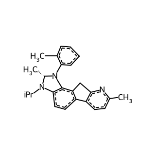 Cc1ccc2c(n1)Cc1c-2ccc2c1N(c1ccccc1C)[C@@H](C)N2C(C)C